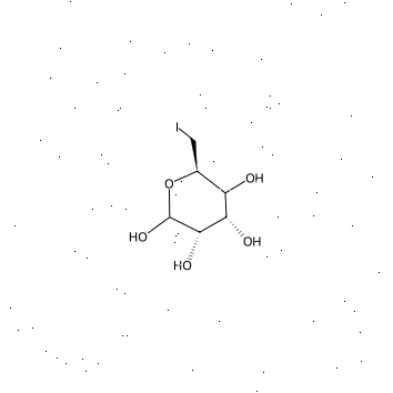 OC1O[C@@H](CI)C(O)[C@H](O)[C@@H]1O